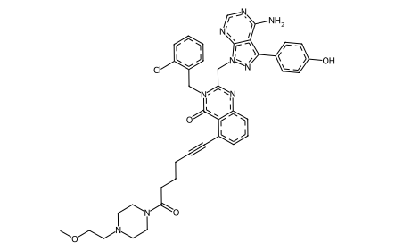 COCCN1CCN(C(=O)CCCC#Cc2cccc3nc(Cn4nc(-c5ccc(O)cc5)c5c(N)ncnc54)n(Cc4ccccc4Cl)c(=O)c23)CC1